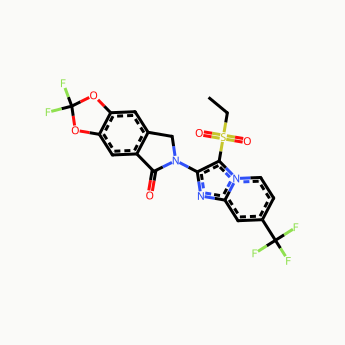 CCS(=O)(=O)c1c(N2Cc3cc4c(cc3C2=O)OC(F)(F)O4)nc2cc(C(F)(F)F)ccn12